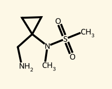 CN(C1(CN)CC1)S(C)(=O)=O